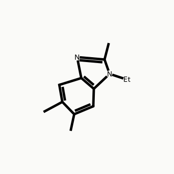 CCn1c(C)nc2cc(C)c(C)cc21